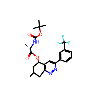 CC1Cc2nnc(-c3cccc(C(F)(F)F)c3)cc2C(OC(=O)[C@H](C)NC(=O)OC(C)(C)C)C1